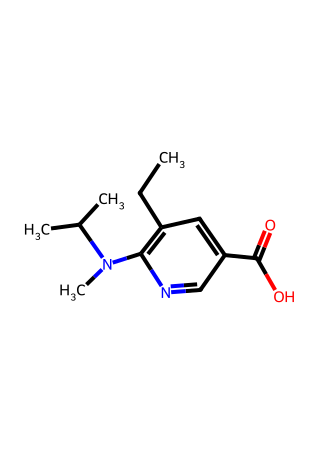 CCc1cc(C(=O)O)cnc1N(C)C(C)C